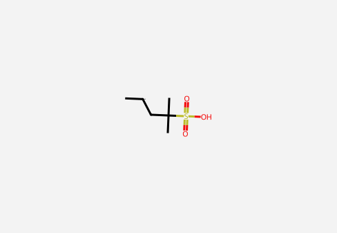 C[CH]CC(C)(C)S(=O)(=O)O